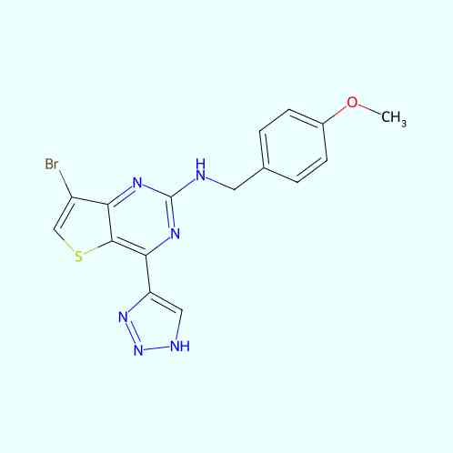 COc1ccc(CNc2nc(-c3c[nH]nn3)c3scc(Br)c3n2)cc1